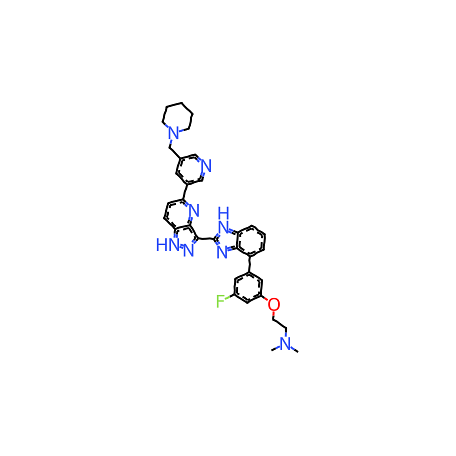 CN(C)CCOc1cc(F)cc(-c2cccc3[nH]c(-c4n[nH]c5ccc(-c6cncc(CN7CCCCC7)c6)nc45)nc23)c1